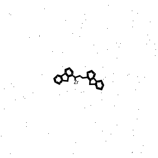 [Zr][CH](CCc1cccc2c1Cc1ccccc1-2)c1cccc2c1Cc1ccccc1-2